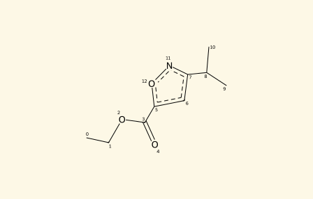 CCOC(=O)c1cc(C(C)C)no1